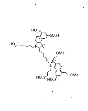 COCCc1cc(S(=O)(=O)O)cc2c3c(ccc12)[N+](CCOC)=C(/C=C/C=C/C=C1/N(CCCCCC(=O)O)c2ccc4c(S(=O)(=O)O)cc(S(=O)(=O)O)cc4c2C1(C)C)C3(C)CCCS(=O)(=O)O